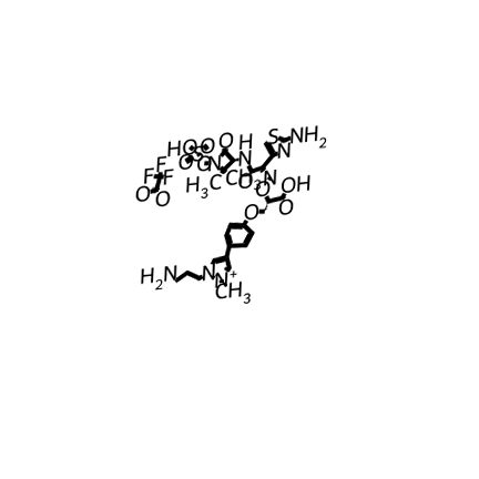 C[n+]1cc(-c2ccc(OC[C@H](O/N=C(\C(=O)N[C@@H]3C(=O)N(OS(=O)(=O)O)C3(C)C)c3csc(N)n3)C(=O)O)cc2)cn1CCCN.O=C([O-])C(F)(F)F